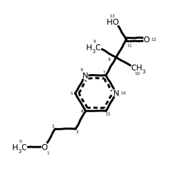 COCCc1cnc(C(C)(C)C(=O)O)nc1